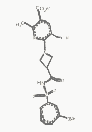 CCOC(=O)c1cc(C#N)c(N2CC(C(=O)NS(=O)(=O)c3cccc(OC)c3)C2)nc1C